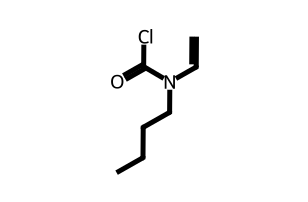 C=CN(CCCC)C(=O)Cl